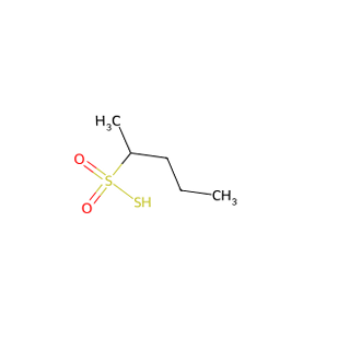 CCCC(C)S(=O)(=O)S